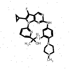 CN1CCN(c2ccc(Nc3ncc4c(F)c(C5CC5)n(-c5cccc(C(C)(C)O)n5)c4n3)cc2F)CC1